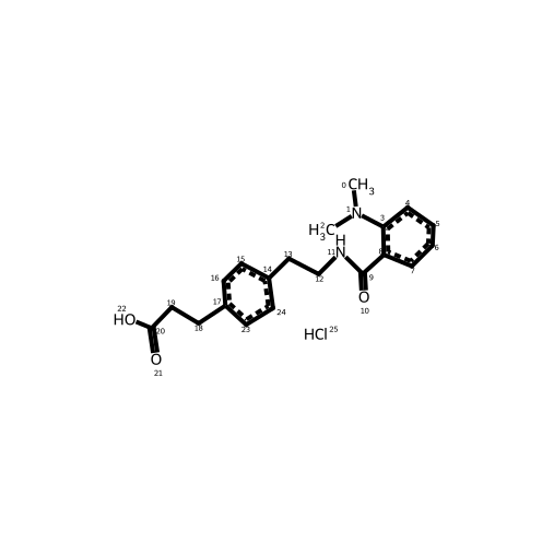 CN(C)c1ccccc1C(=O)NCCc1ccc(CCC(=O)O)cc1.Cl